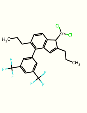 CCCC1=Cc2c(ccc(CCC)c2-c2cc(C(F)(F)F)cc(C(F)(F)F)c2)[CH]1[Zr]([Cl])[Cl]